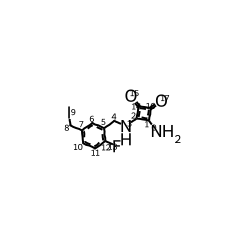 Nc1c(NCc2cc(CI)ccc2F)c(=O)c1=O